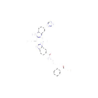 CC(c1nc2cc(-n3ccnc3)ccc2[nH]1)c1nc2ccc(C(=O)NCCOc3ccccc3C(=O)O)cc2n1C